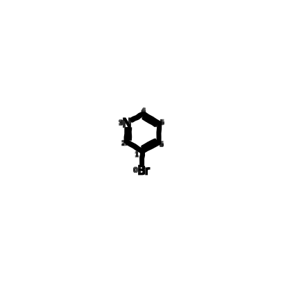 Brc1[c]nccc1